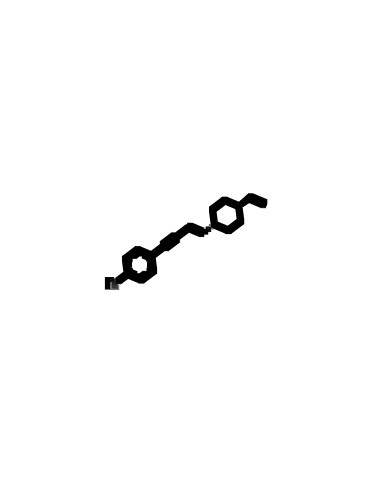 C=C[C@H]1CC[C@H](C=CC#Cc2ccc(CC)cc2)CC1